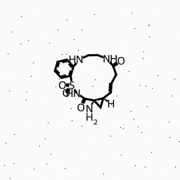 N[C@]12C[C@H]1/C=C/CC(=O)NCCNc1ccccc1S(=O)(=O)NC2=O